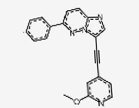 COc1cc(C#Cc2cnc3ccc(-c4cc[c]cc4)nn23)ccn1